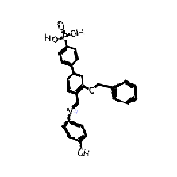 O=P(O)(O)c1ccc(-c2ccc(/C=N/c3ccc(O)cc3)c(OCc3ccccc3)c2)cc1